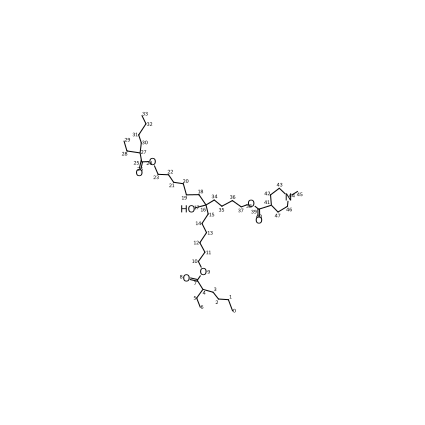 CCCCC(CC)C(=O)OCCCCCCC(O)(CCCCCCOC(=O)C(CC)CCCC)CCCCOC(=O)C1CCN(C)CC1